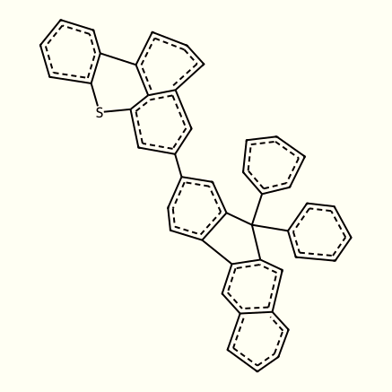 c1ccc(C2(c3ccccc3)c3cc(-c4cc5c6c(cccc6c4)-c4ccccc4S5)ccc3-c3cc4ccccc4cc32)cc1